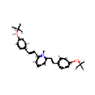 C[n+]1c(/C=C/c2ccc(OC(C)(C)C)cc2)cccc1/C=C/c1ccc(OC(C)(C)C)cc1